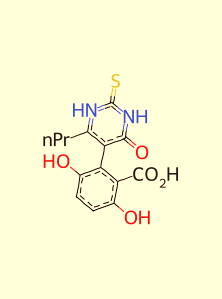 CCCc1[nH]c(=S)[nH]c(=O)c1-c1c(O)ccc(O)c1C(=O)O